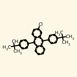 CC(C)(C)c1ccc(-c2c3ccccc3c(-c3ccc(C(C)(C)C)cc3)c3cc(Cl)ccc23)cc1